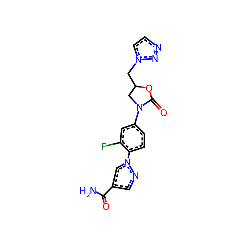 NC(=O)c1cnn(-c2ccc(N3CC(Cn4ccnn4)OC3=O)cc2F)c1